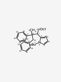 CCCCCCCCC(c1nccn1CCCC)C(C)(Cc1ccccc1)c1ccccc1